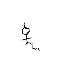 CCOC(=O)C(F)(F)c1ccc(I)cc1